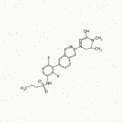 CCCS(=O)(=O)Nc1ccc(F)c(-c2ccc3cc(NCC(C)N(C)C(=O)O)ncc3c2)c1F